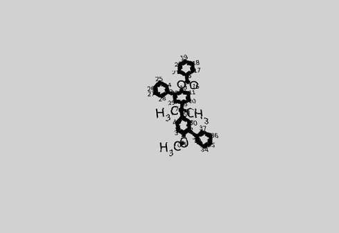 COc1ccc(C(C)(C)c2ccc(OC(=O)c3ccccc3)c(-c3ccccc3)c2)cc1-c1ccccc1